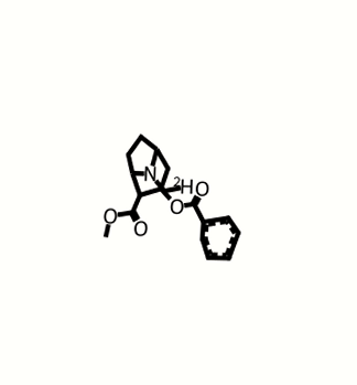 [2H]CN1C2CCC1C(C(=O)OC)C(OC(=O)c1ccccc1)C2